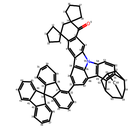 O=C1c2cc3c(cc2C2(CCCC2)CC12CCCC2)c1cc(-c2cccc4c2-c2ccccc2C42c4ccccc4-c4ccccc42)cc2c4c5c(ccc4n3c12)C1CC2CC(C1)CC5C2